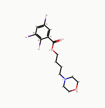 O=C(OCCCCN1CCOCC1)c1cc(I)cc(I)c1I